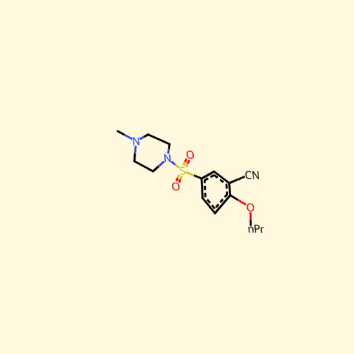 CCCOc1ccc(S(=O)(=O)N2CCN(C)CC2)cc1C#N